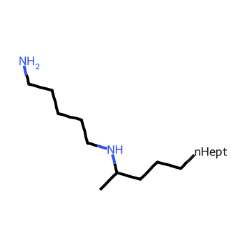 CCCCCCCCCCC(C)NCCCCCN